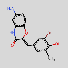 Cc1cc(/C=C2\Oc3ccc(N)cc3NC2=O)cc(Br)c1O